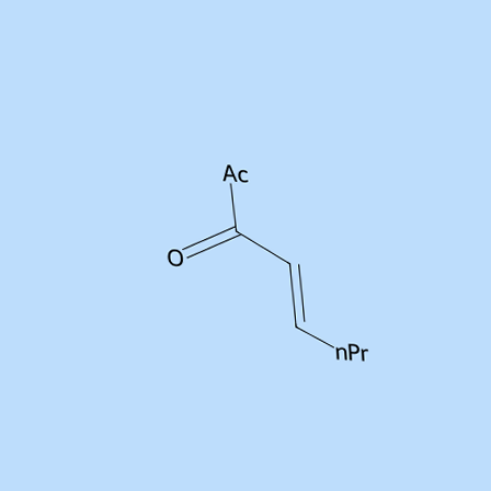 CCCC=CC(=O)C(C)=O